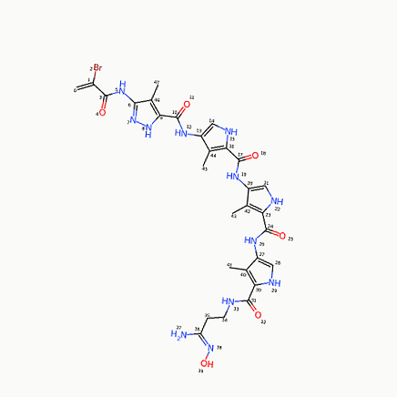 C=C(Br)C(=O)Nc1n[nH]c(C(=O)Nc2c[nH]c(C(=O)Nc3c[nH]c(C(=O)Nc4c[nH]c(C(=O)NCCC(N)=NO)c4C)c3C)c2C)c1C